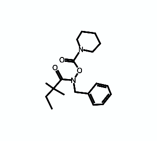 CCC(C)(C)C(=O)N(Cc1ccccc1)OC(=O)N1CCCCC1